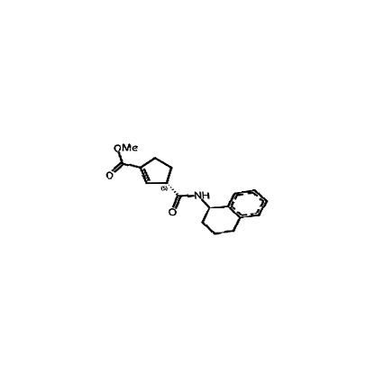 COC(=O)C1=C[C@@H](C(=O)NC2CCCc3ccccc32)CC1